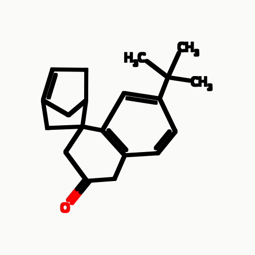 CC(C)(C)c1ccc2c(c1)C1(CC(=O)C2)CC2=CCC1C2